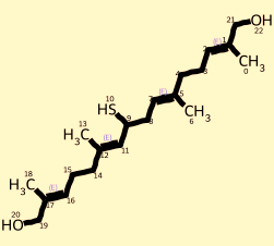 C/C(=C\CC/C(C)=C/CC(S)/C=C(\C)CC/C=C(\C)CO)CO